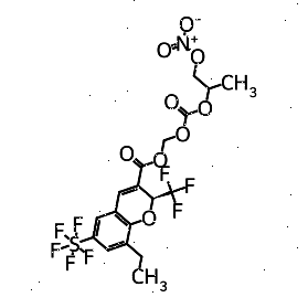 CCc1cc(S(F)(F)(F)(F)F)cc2c1O[C@H](C(F)(F)F)C(C(=O)OCOC(=O)OC(C)CO[N+](=O)[O-])=C2